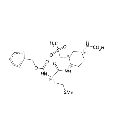 CSCC[C@H](NC(=O)OCc1ccccc1)C(=O)N[C@H]1CC[C@@H](NC(=O)O)C[C@H]1CS(C)(=O)=O